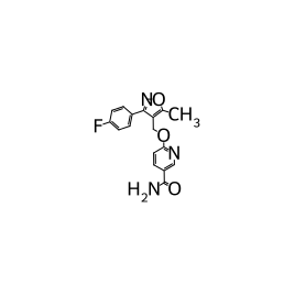 Cc1onc(-c2ccc(F)cc2)c1COc1ccc(C(N)=O)cn1